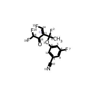 CC(F)(Oc1cc(F)cc(C#N)c1)/C(=C/F)C(=O)C(F)F